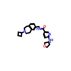 O=C(NCc1ccc2c(c1)CCN(C1CCC1)CC2)c1ccc(N[C@H]2CCOC2)nc1